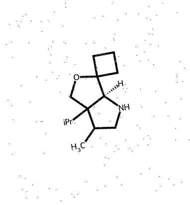 CC(C)C12COC3(CCC3)[C@H]1NCC2C